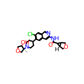 C[C@]1(N2CCC(c3cc4cc(NC(=O)C5C6COC[C@H]65)ncc4cc3Cl)CC2)COC[C@H]1O